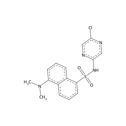 CN(C)c1cccc2c(S(=O)(=O)Nc3cnc(Cl)cn3)cccc12